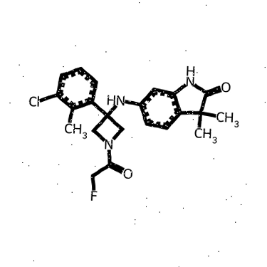 Cc1c(Cl)cccc1C1(Nc2ccc3c(c2)NC(=O)C3(C)C)CN(C(=O)CF)C1